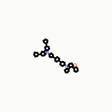 c1ccc(-c2ccc3c(c2)c2cc(-c4ccccc4)ccc2n3-c2ccc(-c3ccc(-c4ccc(-n5c6ccccc6c6c7c(ccc65)oc5ccccc57)cc4)cc3)cc2)cc1